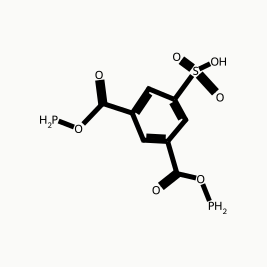 O=C(OP)c1cc(C(=O)OP)cc(S(=O)(=O)O)c1